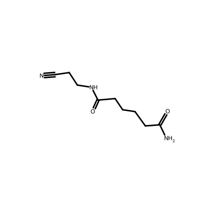 N#CCCNC(=O)CCCCC(N)=O